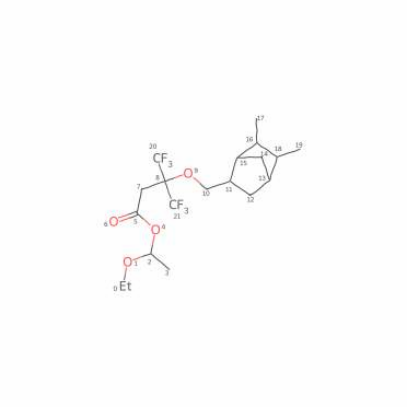 CCOC(C)OC(=O)CC(OCC1CC2CC1C(C)C2C)(C(F)(F)F)C(F)(F)F